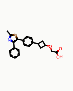 Cc1nc(-c2ccccc2)c(-c2ccc(C3CC(OCC(=O)O)C3)cc2)s1